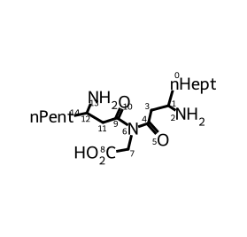 CCCCCCCC(N)CC(=O)N(CC(=O)O)C(=O)CC(N)CCCCC